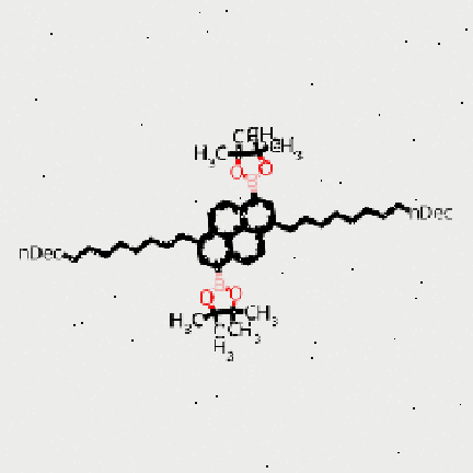 CCCCCCCCCCCCCCCCCCc1cc(B2OC(C)(C)C(C)(C)O2)c2ccc3c(CCCCCCCCCCCCCCCCCC)cc(B4OC(C)(C)C(C)(C)O4)c4ccc1c2c34